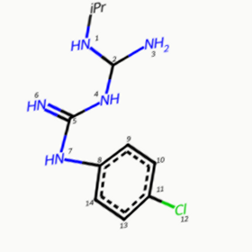 CC(C)NC(N)NC(=N)Nc1ccc(Cl)cc1